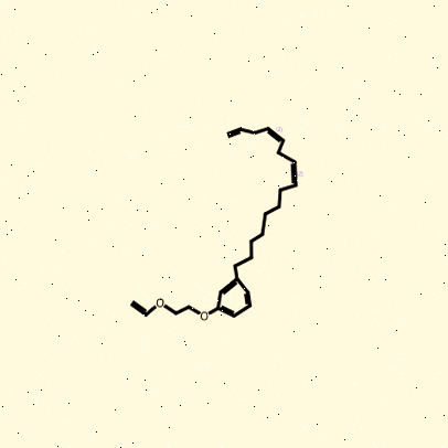 C=CC/C=C\C/C=C\CCCCCCCc1cccc(OCCOC=C)c1